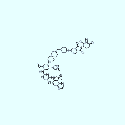 COc1cc(N2CCC3(CCN(CC4CCN(c5ccc6c(c5)C(=O)N(C5CCC(=O)NC5=O)C6=O)CC4)CC3)CC2)c(-c2cnn(C)c2)cc1Nc1ncc(Cl)c(Nc2ccc3nccnc3c2P(C)(C)=O)n1